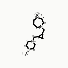 CN1CCCN(CC2CC2CN2CCN(C)CC2)CC1